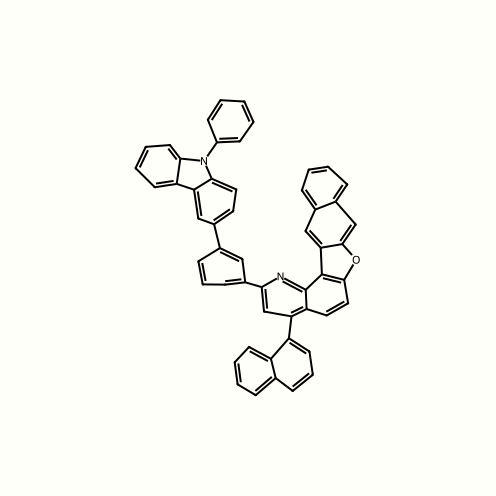 c1ccc(-n2c3ccccc3c3cc(-c4cccc(-c5cc(-c6cccc7ccccc67)c6ccc7oc8cc9ccccc9cc8c7c6n5)c4)ccc32)cc1